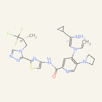 C=CN(/C=C(\N)C1CC1)c1cc(C(=O)Nc2csc(-c3nncn3C[C@@H](C)C(F)(F)F)n2)ncc1N1CCC1